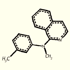 Cc1cccc(N(C)c2nccc3ccccc23)c1